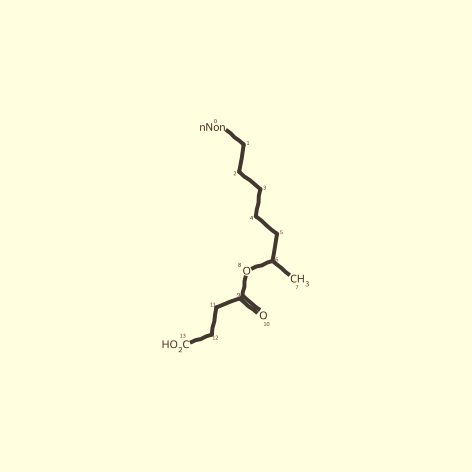 CCCCCCCCCCCCCCC(C)OC(=O)CCC(=O)O